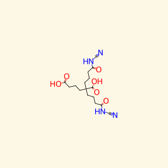 N#CNC(=O)CCCC(CCCC(=O)O)(CCCC(=O)NC#N)C(=O)O